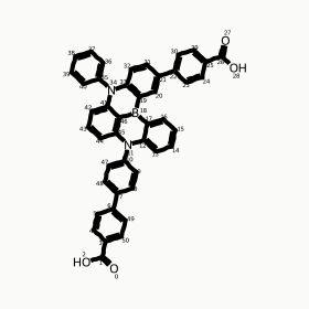 O=C(O)c1ccc(-c2ccc(N3c4ccccc4B4c5cc(-c6ccc(C(=O)O)cc6)ccc5N(c5ccccc5)c5cccc3c54)cc2)cc1